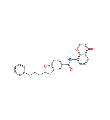 O=C(Nc1cccc2c(=O)ccoc12)c1ccc2c(c1)CC(CCCc1ccccc1)O2